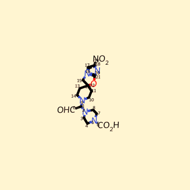 O=CC(N1CCN(C(=O)O)CC1)N1CCC2(CC1)Cn1cc([N+](=O)[O-])nc1O2